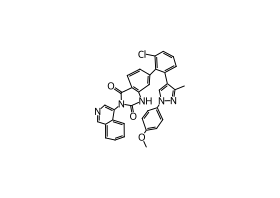 COc1ccc(-n2cc(-c3cccc(Cl)c3-c3ccc4c(=O)n(-c5cncc6ccccc56)c(=O)[nH]c4c3)c(C)n2)cc1